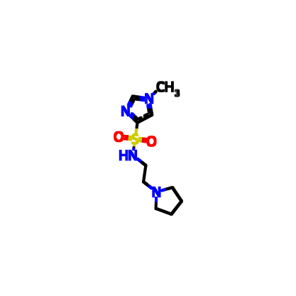 Cn1cnc(S(=O)(=O)NCCN2CCCC2)c1